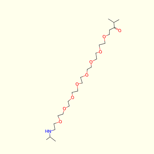 CC(C)NCCOCCOCCOCCOCCOCCOCCOCCOCCC(=O)C(C)C